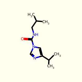 CC(C)CNC(=O)n1cnc(C(C)C)c1